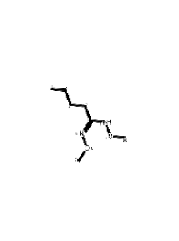 CCCCC(=NOC)NOC